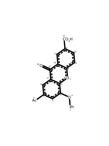 CC(=O)c1cc(OC(C)C)c2oc3ccc(C(=O)O)cc3c(=O)c2c1